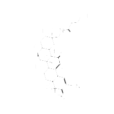 CC1(C)C(=O)C(C#N)=C[C@]2(C)C3=CC(=O)[C@]4(O)[C@@H]5C[C@@](C)(CNC(=O)CCO)CC[C@]5(C)CC[C@@]4(C)[C@]3(C)CC[C@@H]12